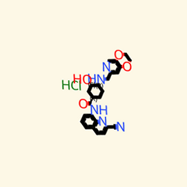 Cl.N#Cc1ccc2cccc(NC(=O)[C@@H]3CC[C@@H](NCc4cc5c(cn4)OCCO5)[C@@H](O)C3)c2n1